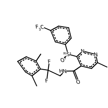 Cc1cc(C(=O)NCC(F)(F)c2c(C)cccc2C)c([S@@+]([O-])c2cccc(C(F)(F)F)c2)nn1